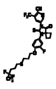 N#Cc1ncc(N2C(=O)C3(CCC3)N(c3ccc(OCCCSCCCC(F)(F)C(F)(F)F)c(F)c3)C2=S)cc1C(F)(F)F